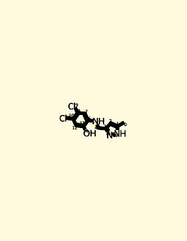 Cc1cc(CNc2cc(Cl)c(Cl)cc2O)n[nH]1